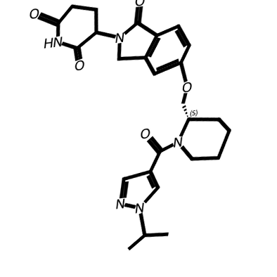 CC(C)n1cc(C(=O)N2CCCC[C@H]2COc2ccc3c(c2)CN(C2CCC(=O)NC2=O)C3=O)cn1